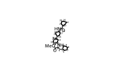 COC(=O)[C@H](Cc1ccccc1)Nc1cc(-c2ccc(NC(=O)c3ccccc3)cc2)ncn1